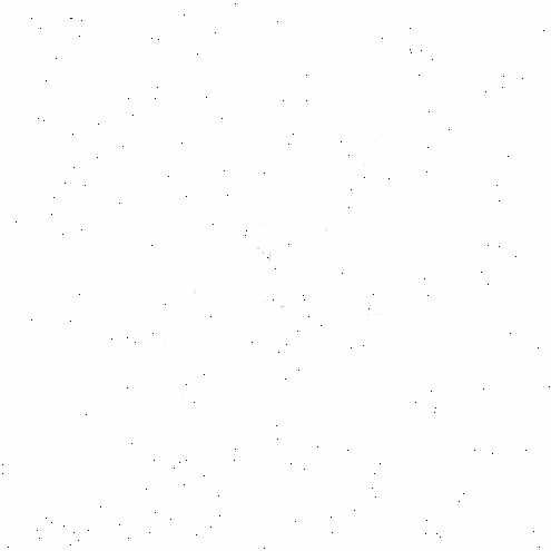 C=CCC[C@@]1(c2ccc(F)cc2)CCN([C@@H](C)c2ccc(OC(F)F)cc2)C(=O)O1